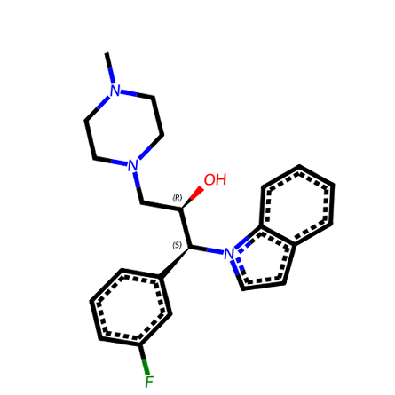 CN1CCN(C[C@@H](O)[C@H](c2cccc(F)c2)n2ccc3ccccc32)CC1